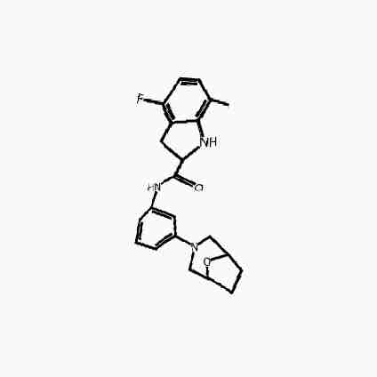 Cc1ccc(F)c2c1NC(C(=O)Nc1cccc(N3CC4CCC(C3)O4)c1)C2